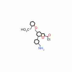 CCC(=O)c1cc2cc(COc3ccccc3CC(=O)O)cc(-c3cccc(CN)c3)c2o1